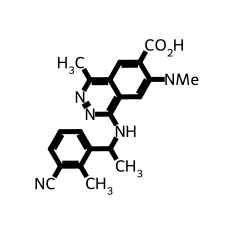 CNc1cc2c(NC(C)c3cccc(C#N)c3C)nnc(C)c2cc1C(=O)O